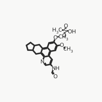 COc1cc2c3c(c4ncc(NC=O)cc4c2cc1OC)CC1CCCC1C3.CS(=O)(=O)O